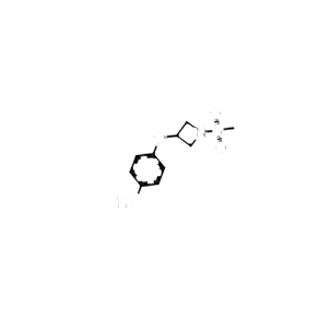 CS(=O)(=O)N1CC(Oc2ccc(O)cc2)C1